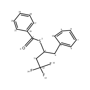 O=C(SC(Cc1ccccc1)CC(F)(F)F)c1ccccc1